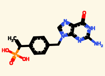 C=C(c1ccc(Cn2cnc3c(=O)[nH]c(N)nc32)cc1)P(=O)(O)O